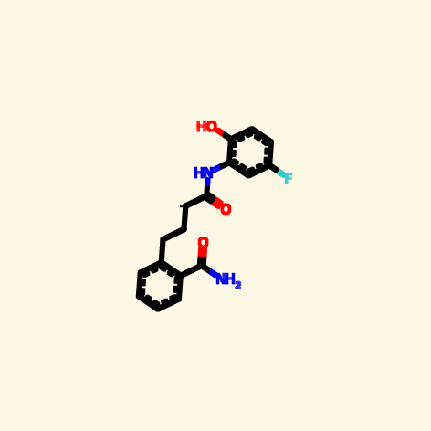 NC(=O)c1ccccc1CC[CH]C(=O)Nc1cc(F)ccc1O